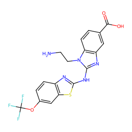 NCCn1c(Nc2nc3ccc(OC(F)(F)F)cc3s2)nc2cc(C(=O)O)ccc21